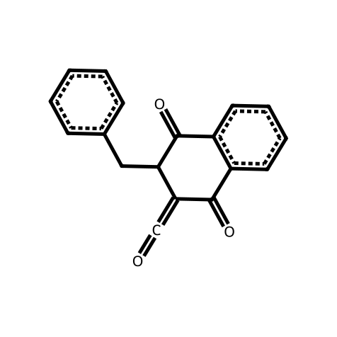 O=C=C1C(=O)c2ccccc2C(=O)C1Cc1ccccc1